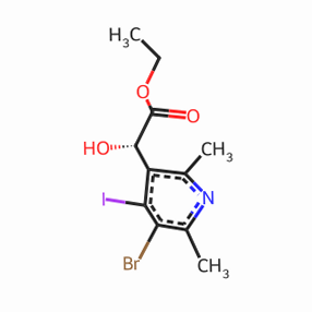 CCOC(=O)[C@@H](O)c1c(C)nc(C)c(Br)c1I